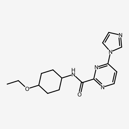 CCOC1CCC(NC(=O)c2nccc(-n3ccnc3)n2)CC1